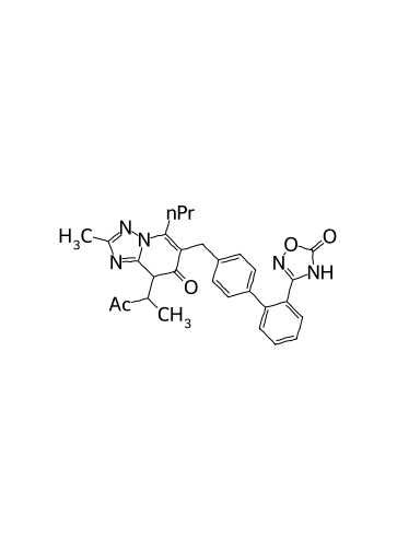 CCCC1=C(Cc2ccc(-c3ccccc3-c3noc(=O)[nH]3)cc2)C(=O)C(C(C)C(C)=O)c2nc(C)nn21